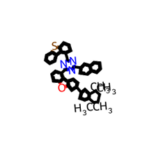 CC1(C)CCC(C)(C)c2cc(-c3ccc4c(c3)oc3cccc(-c5nc(-c6ccc7ccccc7c6)nc(-c6cccc7sc8ccccc8c67)n5)c34)ccc21